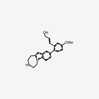 COc1ccc(-c2ccc3c(c2)cc2n3CCNCC2)c(/C=C/CO)c1